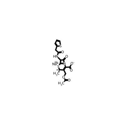 CC(=O)OCC1=C(C(=O)[O-])N2C(=O)C(NC(=O)Cc3cccs3)[C@@H]2S[C@@H]1C.[Na+]